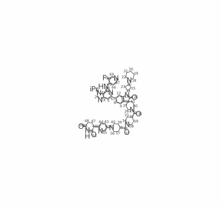 CC(C)n1cnc2cc(-c3ccc4c(c3)N([C@H]3C[C@@H](N5CCCCC5)C3)C(=O)C43CCN(C(=O)C4CCN(C(=O)C5CCN(c6ccc(C7CCC(=O)NC7=O)nc6)CC5)CC4)CC3)nc(Nc3ccncc3F)c21